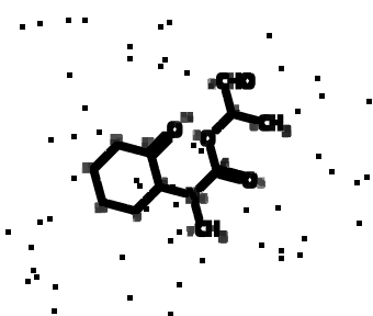 CC(C=O)OC(=O)N(C)C1CCCCC1=O